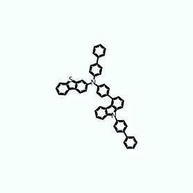 c1ccc(-c2ccc(N(c3ccc(-c4cccc5c4c4ccccc4n5-c4ccc(-c5ccccc5)cc4)cc3)c3ccc4c(c3)sc3ccccc34)cc2)cc1